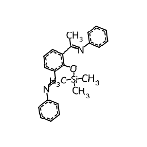 C/C(=N\c1ccccc1)c1cccc(/C=N/c2ccccc2)c1O[Si](C)(C)C